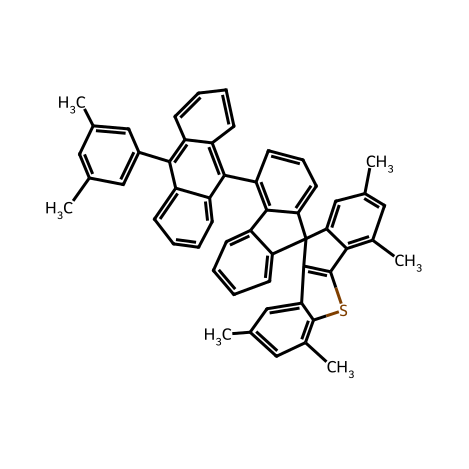 Cc1cc(C)cc(-c2c3ccccc3c(-c3cccc4c3-c3ccccc3C43c4cc(C)cc(C)c4-c4sc5c(C)cc(C)cc5c43)c3ccccc23)c1